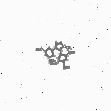 COc1cc(OC)cc(-c2ncn(C)c2-c2cc(OC)c(OC)cc2OC)c1